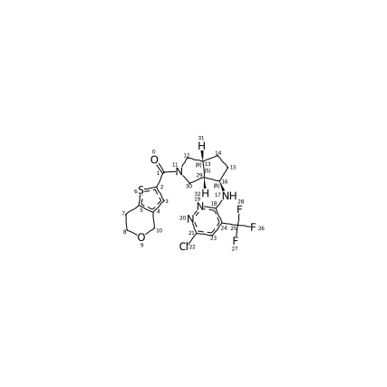 O=C(c1cc2c(s1)CCOC2)N1C[C@@H]2CC[C@@H](Nc3nnc(Cl)cc3C(F)(F)F)[C@@H]2C1